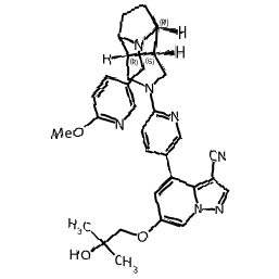 COc1ccc(CN2C3CC[C@@H]2[C@@H]2CN(c4ccc(-c5cc(OCC(C)(C)O)cn6ncc(C#N)c56)cn4)C[C@H]32)cn1